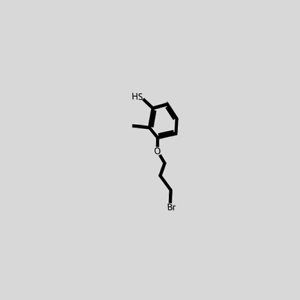 Cc1c(S)[c]ccc1OCCCBr